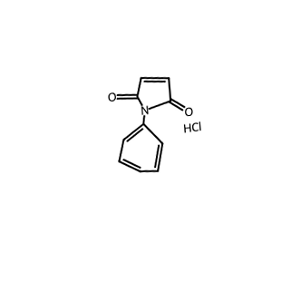 Cl.O=C1C=CC(=O)N1c1ccccc1